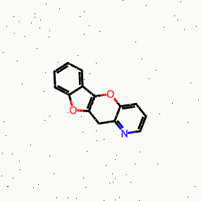 c1cnc2c(c1)Oc1c(oc3ccccc13)C2